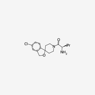 CC(C)[C@@H](N)C(=O)N1CCC2(CC1)OCc1cc(Cl)ccc12